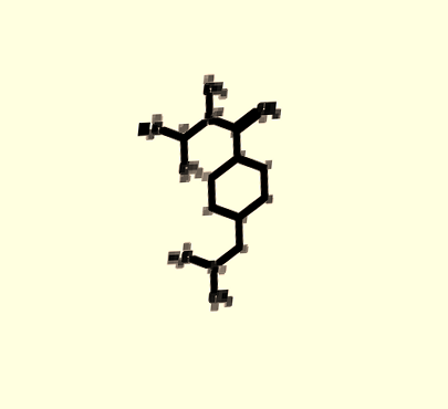 C=C(C1CCC(CN(C)C)CC1)N(C)C(C)C